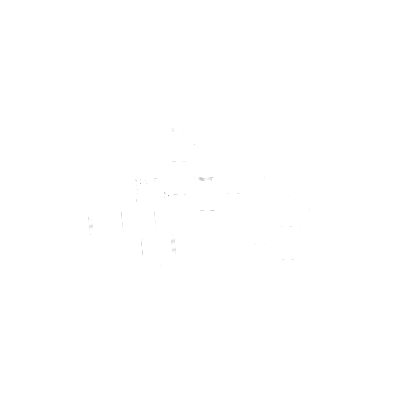 C1=CCC2C(=C1)C1=C(C=CCC1)c1c2nc2c3ccccc3c3cc(-c4ccc5ccc6cccc7ccc4c5c67)ccc3n12